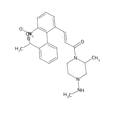 CNN1CCN(C(=O)/C=C/c2cc[c]c([N+](=O)[O-])c2-c2ccccc2C(C)C)C(C)C1